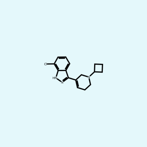 Clc1cccc2c(C3=CCCN(C4CCC4)C3)n[nH]c12